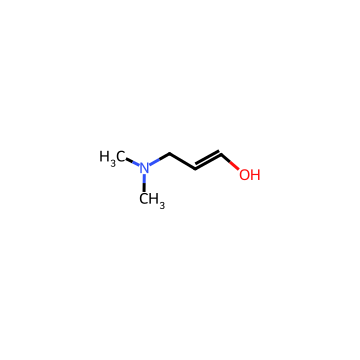 CN(C)CC=CO